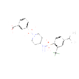 CC(C)c1ccc(S(=O)(=O)NC2CCN(S(=O)(=O)c3cccc(C(=O)O)c3)CC2)c(C(F)(F)F)c1